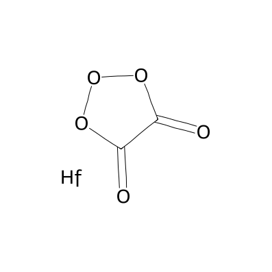 O=c1oooc1=O.[Hf]